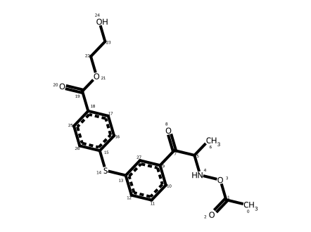 CC(=O)ONC(C)C(=O)c1cccc(Sc2ccc(C(=O)OCCO)cc2)c1